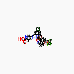 O=C(O)c1ccc(C#Cc2cc(Cl)ccc2NS(=O)(=O)c2ccc(OCC(F)(F)F)c3cccnc23)cn1